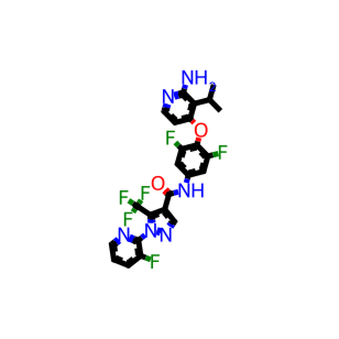 CC(C)c1c(Oc2c(F)cc(NC(=O)c3cnn(-c4ncccc4F)c3C(F)(F)F)cc2F)ccnc1N